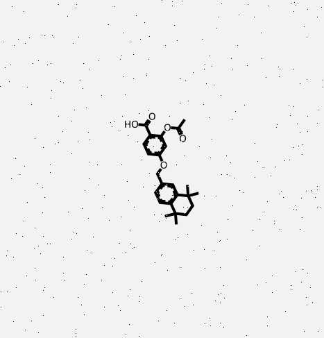 CC(=O)Oc1cc(OCc2ccc3c(c2)C(C)(C)CCC3(C)C)ccc1C(=O)O